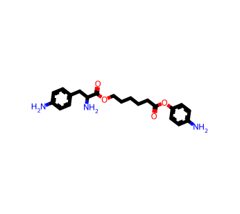 Nc1ccc(CC(N)C(=O)OCCCCCC(=O)Oc2ccc(N)cc2)cc1